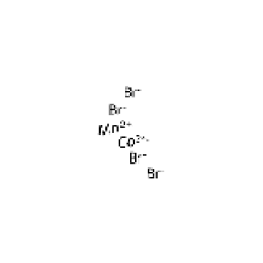 [Br-].[Br-].[Br-].[Br-].[Co+2].[Mn+2]